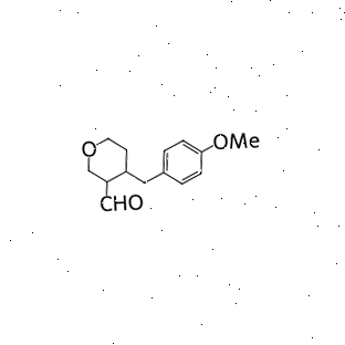 COc1ccc(CC2CCOCC2C=O)cc1